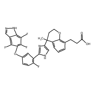 CC1(c2c[nH]c(-c3cc(Oc4c(F)c(F)c5[nH]ncc5c4F)ccc3F)n2)CCOc2c(CCC(=O)O)cccc21